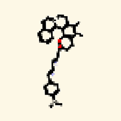 Cc1c(C)c2c(c3c1CC[n+]1ccc4ccccc4c1-3)-c1cccc(/C=C/C=C/c3ccc(N(C)C)cc3)[n+]1CC2